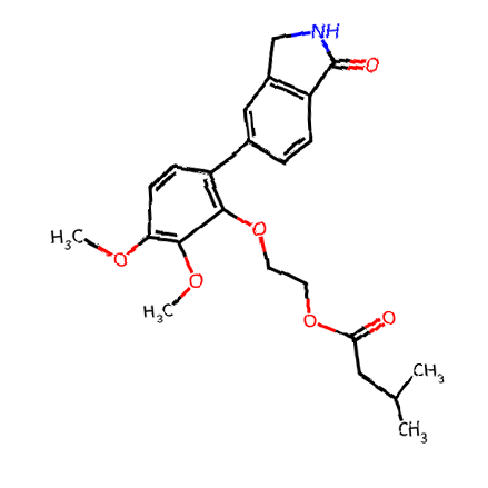 COc1ccc(-c2ccc3c(c2)CNC3=O)c(OCCOC(=O)CC(C)C)c1OC